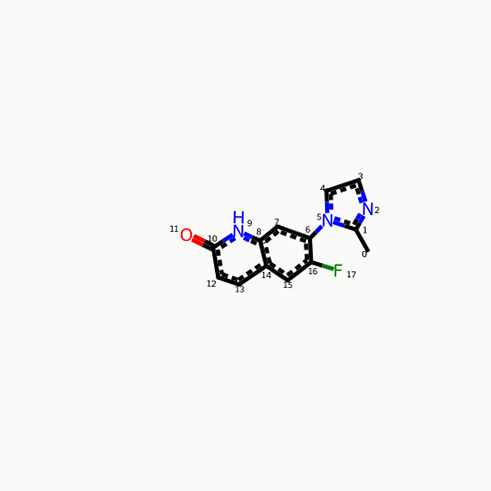 Cc1nccn1-c1cc2[nH]c(=O)ccc2cc1F